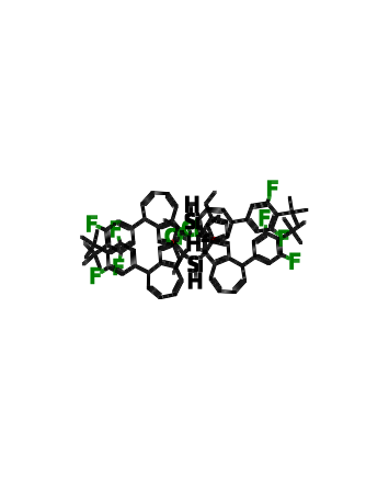 CCC1=CC2=C(C=CC=CC2c2cc(F)c(C(C)(C)C)c(F)c2)[C]12[SiH](C)[C]1(C(CC)=CC3=C1C=CC=CC3c1cc(F)c(C(C)(C)C)c(F)c1)[Hf]21([Cl])([Cl])[C]2(C(CC)=CC3=C2C=CC=CC3c2cc(F)c(C(C)(C)C)c(F)c2)[SiH](C)[C]12C(CC)=CC1=C2C=CC=CC1c1cc(F)c(C(C)(C)C)c(F)c1